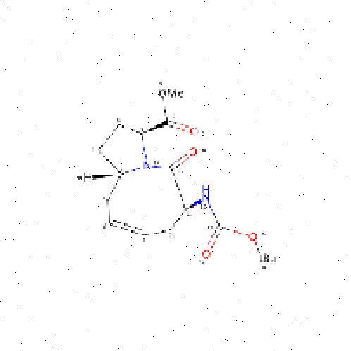 COC(=O)[C@@H]1CC[C@H]2C/C=C\C[C@H](NC(=O)OC(C)(C)C)C(=O)N21